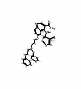 CCCC(=O)c1cnc2ccc(OCCCN(CCCc3ccccc3)Cc3ccccc3)cc2c1Nc1ccccc1C